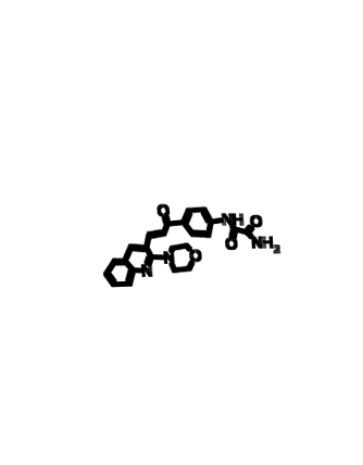 NC(=O)C(=O)Nc1ccc(C(=O)C=Cc2cc3ccccc3nc2N2CCOCC2)cc1